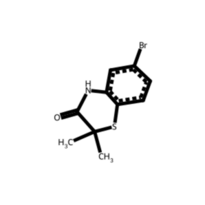 CC1(C)Sc2ccc(Br)cc2NC1=O